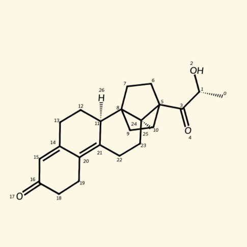 C[C@@H](O)C(=O)C12CCC3(CC1)[C@@H]1CCC4=CC(=O)CCC4=C1CC[C@]23C